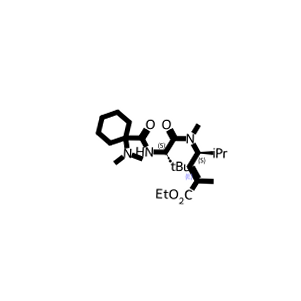 CCOC(=O)/C(C)=C/[C@H](C(C)C)N(C)C(=O)[C@@H](NC(=O)C1(N(C)C)CCCCC1)C(C)(C)C